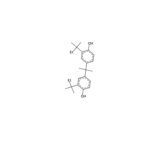 CCC(C)(C)c1cc(C(C)(C)c2ccc(O)c(C(C)(C)CC)c2)ccc1O